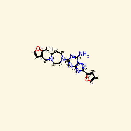 Cc1occc1CN1CCCN(c2nc(N)n3nc(-c4ccco4)nc3n2)CC1